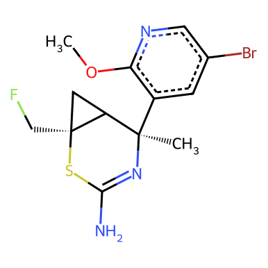 COc1ncc(Br)cc1[C@@]1(C)N=C(N)S[C@@]2(CF)CC21